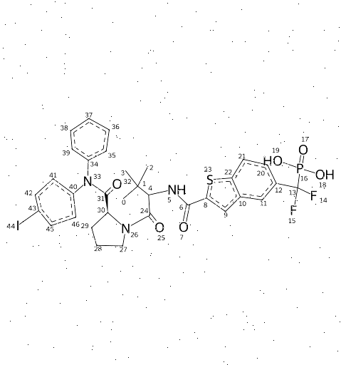 CC(C)(C)C(NC(=O)c1cc2cc(C(F)(F)P(=O)(O)O)ccc2s1)C(=O)N1CCC[C@H]1C(=O)N(c1ccccc1)c1ccc(I)cc1